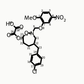 COc1ccc([N+](=O)[O-])cc1OCN1CC(Cc2ccc(Cl)cc2)CCCO1.O=C(O)C(=O)O